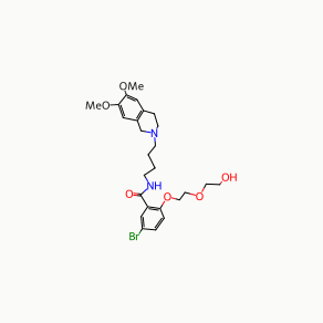 COc1cc2c(cc1OC)CN(CCCCNC(=O)c1cc(Br)ccc1OCCOCCO)CC2